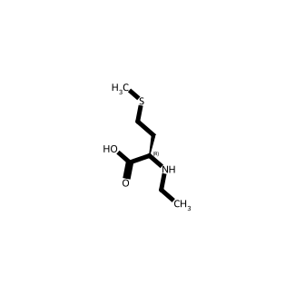 CCN[C@H](CCSC)C(=O)O